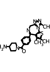 Cc1sc2c(c1C)C(c1ccc(C(=O)N3CCC(N)CC3)cc1)=NCc1nnc(C)n1-2